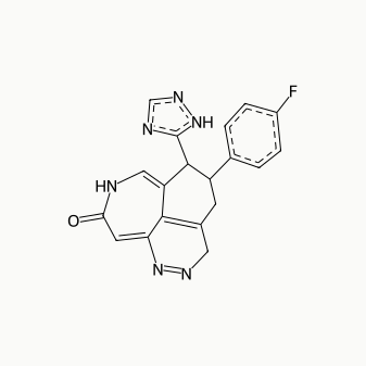 O=C1C=C2N=NCC3=C2C(=CN1)C(c1ncn[nH]1)C(c1ccc(F)cc1)C3